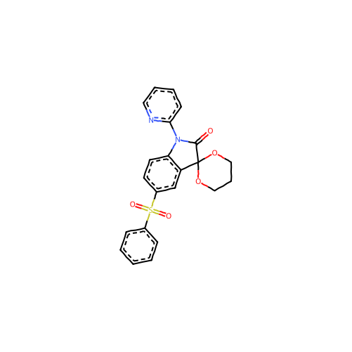 O=C1N(c2ccccn2)c2ccc(S(=O)(=O)c3ccccc3)cc2C12OCCCO2